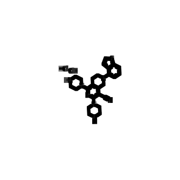 Cl.Cl.N#Cc1c(N2CCNCC2)nc(N2CCNCC2)c2c1CN(c1cccc3sccc13)CC2